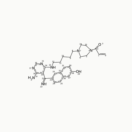 C=CC(=O)N1CCN(CCCCCNc2ncnc(N)c2C(=N)c2ccc3cc(O)ccc3c2)CC1